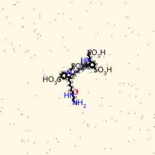 CC1(CCCCCC(=O)NCCN)/C(=C/C=C/C=C/C(I)C(C)(C)c2cc(S(=O)(=O)O)ccc2NCCS(=O)(=O)O)N(CCS(=O)(=O)O)c2ccc(S(=O)(=O)O)cc21